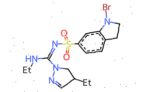 CCNC(=NS(=O)(=O)c1ccc2c(c1)N(Br)CC2)N1CC(CC)C=N1